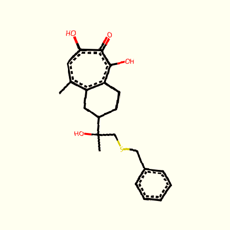 Cc1cc(O)c(=O)c(O)c2c1CC(C(C)(O)CSCc1ccccc1)CC2